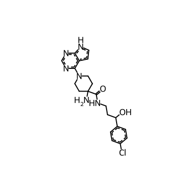 NC1(C(=O)NCCC(O)c2ccc(Cl)cc2)CCN(c2ncnc3[nH]ccc23)CC1